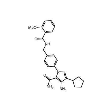 COc1ccccc1C(=O)NCc1ccc(-n2cc(C3CCCC3)c(N)c2C(N)=O)cc1